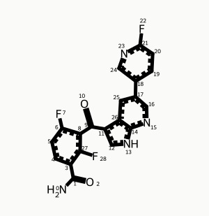 NC(=O)c1ccc(F)c(C(=O)c2c[nH]c3ncc(-c4ccc(F)nc4)cc23)c1F